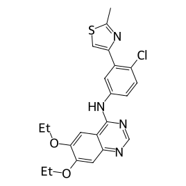 CCOc1cc2ncnc(Nc3ccc(Cl)c(-c4csc(C)n4)c3)c2cc1OCC